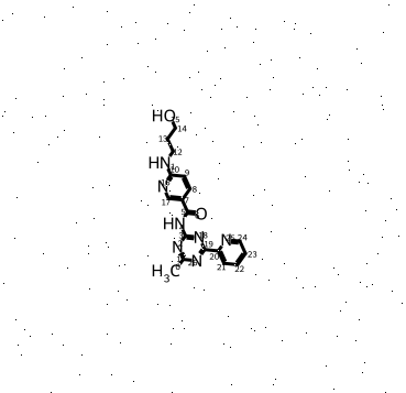 Cc1nc(NC(=O)c2ccc(NCCCO)nc2)nc(-c2ccccn2)n1